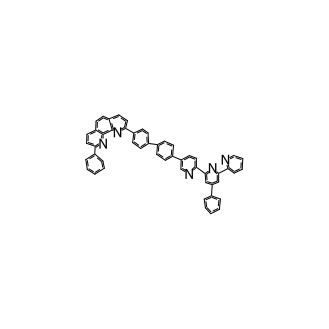 c1ccc(-c2cc(-c3ccccn3)nc(-c3ccc(-c4ccc(-c5ccc(-c6ccc7ccc8ccc(-c9ccccc9)nc8c7n6)cc5)cc4)cn3)c2)cc1